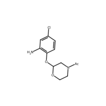 CC(=O)N1CCOC(Oc2ccc(Cl)cc2N)C1